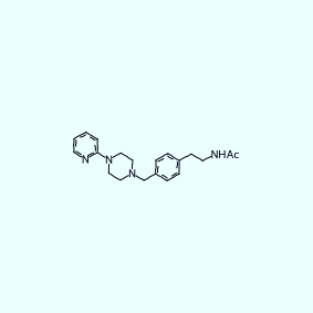 CC(=O)NCCc1ccc(CN2CCN(c3ccccn3)CC2)cc1